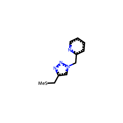 CSCc1cn(Cc2ccccn2)nn1